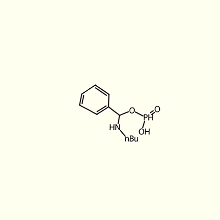 CCCCNC(O[PH](=O)O)c1ccccc1